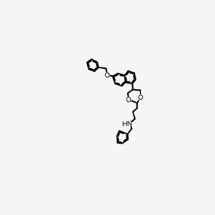 c1ccc(CNCCCC2OCC(c3cccc4cc(OCc5ccccc5)ccc34)CO2)cc1